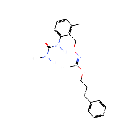 C/C(=N\OCc1c(C)cccc1N(N)C(=O)N(C)N)OCCCc1ccccc1